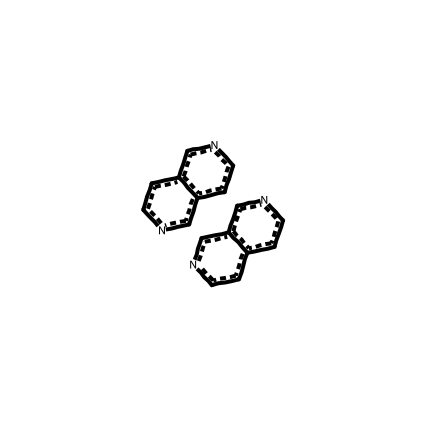 c1cc2ccncc2cn1.c1cc2cnccc2cn1